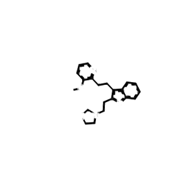 COc1cccnc1CCc1c(CCN2CCSC2)sc2ccccc12